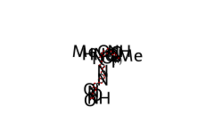 COc1ccc(NS(=O)(=O)N2CC[C@@H](F)C2)c(OC)c1C(=O)c1c[nH]c2ncc(-c3ccc(N4CCC(CN5CCC(c6ccc7c(c6)CN(C6CCC(=O)NC6=O)C7=O)CC5)CC4)cc3)cc12